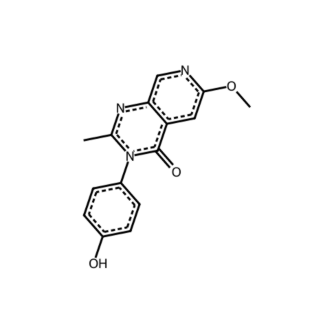 COc1cc2c(=O)n(-c3ccc(O)cc3)c(C)nc2cn1